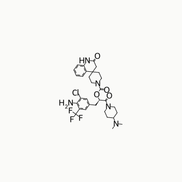 CN(C)C1CCN(C(=O)[C@@H](Cc2cc(Cl)c(N)c(C(F)(F)F)c2)OC(=O)N2CCC3(CC2)CC(=O)Nc2ccccc23)CC1